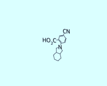 N#Cc1ccc(N2CC3CCCCC3C2)c(C(=O)O)c1